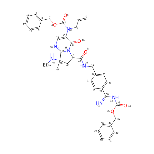 C=CCN(C(=O)OCc1ccccc1)c1cnc2n(c1=O)C(C(=O)NCc1ccc(C(=N)NC(=O)OCc3ccccc3)cc1)CC2(C)NCC